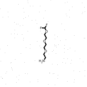 NCCOCCOCCOC(F)F